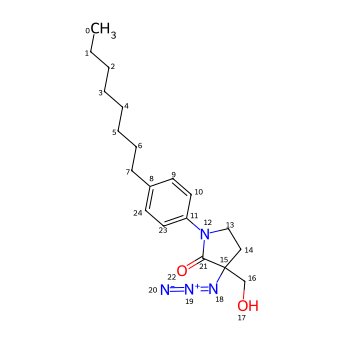 CCCCCCCCc1ccc(N2CCC(CO)(N=[N+]=[N-])C2=O)cc1